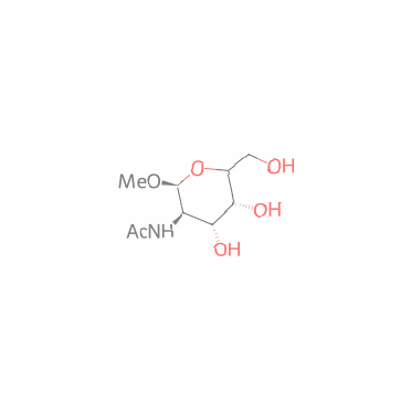 CO[C@H]1OC(CO)[C@H](O)[C@H](O)[C@H]1NC(C)=O